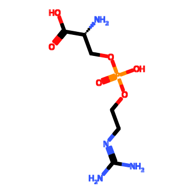 NC(N)=NCCOP(=O)(O)OC[C@@H](N)C(=O)O